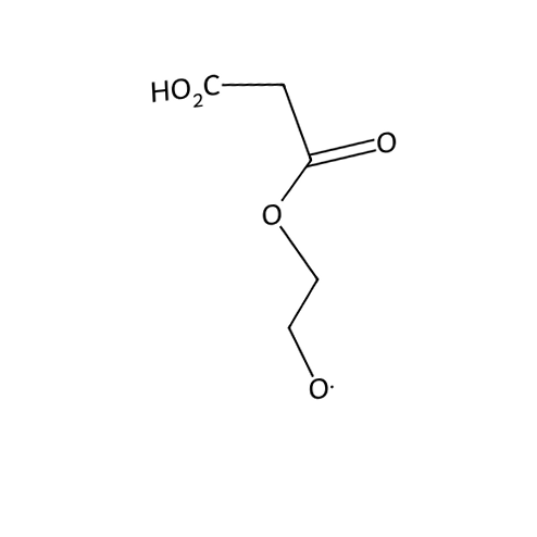 [O]CCOC(=O)CC(=O)O